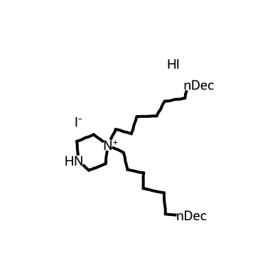 CCCCCCCCCCCCCCCC[N+]1(CCCCCCCCCCCCCCCC)CCNCC1.I.[I-]